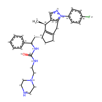 C[C@@H]1C2=C(CC[C@@H]2CC(NC(=O)NCCN2CCNCC2)c2ccccc2)Cc2c1cnn2-c1ccc(F)cc1